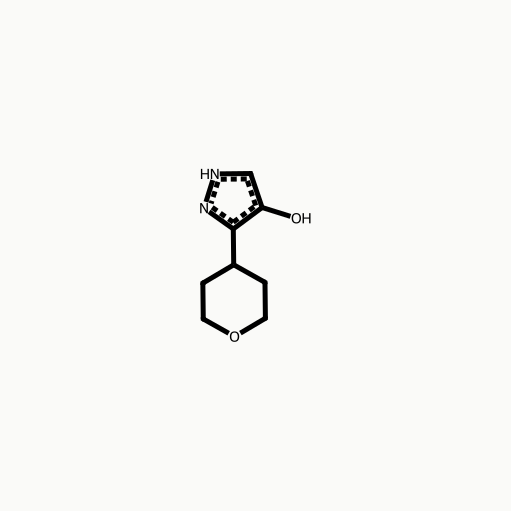 Oc1c[nH]nc1C1CCOCC1